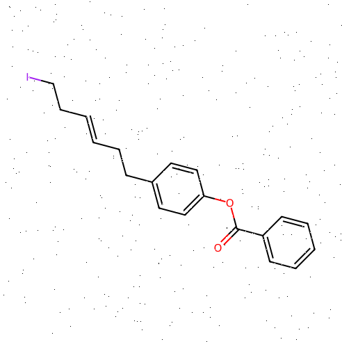 O=C(Oc1ccc(CC/C=C/CCI)cc1)c1ccccc1